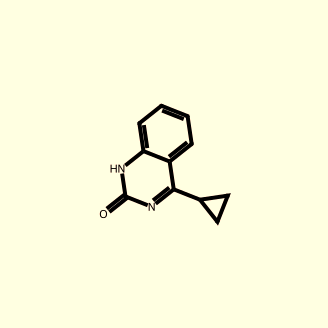 O=c1nc(C2CC2)c2ccccc2[nH]1